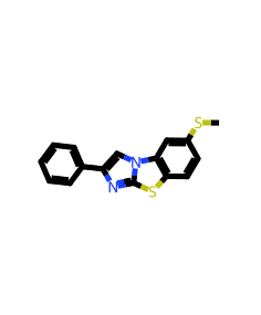 CSc1ccc2sc3nc(-c4ccccc4)cn3c2c1